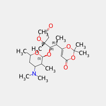 CO[C@](C)(CC=O)[C@H](O[C@@H]1OC(C)CC(N(C)C)C1C)[C@@H](C)C1=CC(=O)OC(C)(C)O1